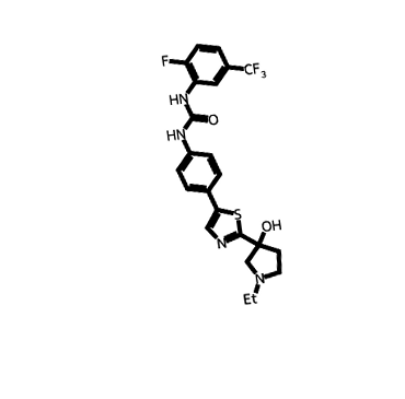 CCN1CCC(O)(c2ncc(-c3ccc(NC(=O)Nc4cc(C(F)(F)F)ccc4F)cc3)s2)C1